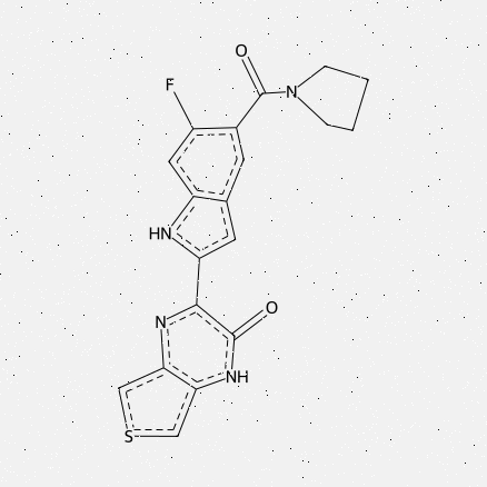 O=C(c1cc2cc(-c3nc4cscc4[nH]c3=O)[nH]c2cc1F)N1CCCC1